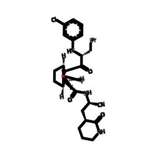 CC(C)C[C@@H](Nc1cccc(Cl)c1)C(=O)N1[C@@H]2CC[C@H]([C@@H]1C(=O)N[C@@H](C#N)C[C@@H]1CCCNC1=O)C(F)(F)C2